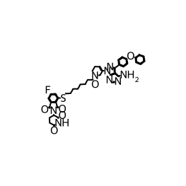 Nc1ncnc2c1c(-c1ccc(Oc3ccccc3)cc1)nn2C1=CCCN(C(=O)CCCCCCCSc2cc(F)cc3c2C(=O)N(C2CCC(=O)NC2=O)C3=O)C1